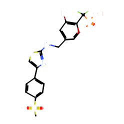 CS(=O)(=O)c1ccc(-c2csc(NCc3ccc(C(F)(F)P(=O)(O)O)c(Br)c3)n2)cc1